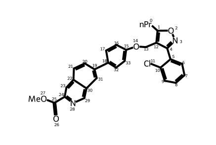 CCCc1onc(-c2ccccc2Cl)c1COc1ccc(-c2ccc3cc(C(=O)OC)ncc3c2)cc1